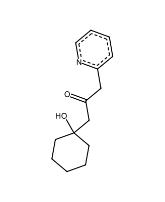 O=C(Cc1ccccn1)CC1(O)CCCCC1